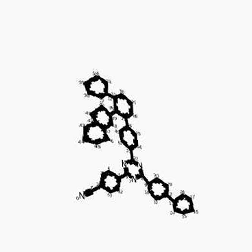 N#Cc1ccc(-c2nc(-c3ccc(-c4ccccc4)cc3)nc(-c3ccc(-c4cccc(-c5ccccc5)c4-c4ccc5ccccc5c4)cc3)n2)cc1